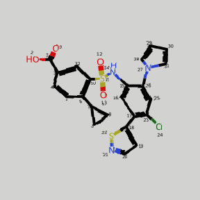 O=C(O)c1ccc(C2CC2)c(S(=O)(=O)Nc2cc(-c3ccns3)c(Cl)cc2-n2cccc2)c1